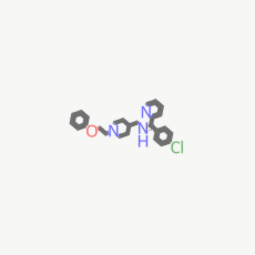 Clc1ccc([C@H](NCC2CCN(CCOc3ccccc3)CC2)c2ccccn2)cc1